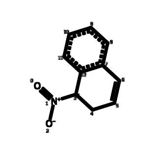 O=[N+]([O-])[C]1CC=Cc2ccccc21